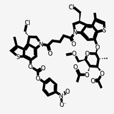 COC[C@H]1O[C@@H](Oc2cc3c(c4c(C)csc24)[C@H](CCl)CN3C(=O)CCCC(=O)N2C[C@@H](CCl)c3c2cc(OC(=O)Oc2ccc([N+](=O)[O-])cc2)c2scc(C)c32)[C@H](C)[C@@H](OC(C)=O)[C@@H]1OC(C)=O